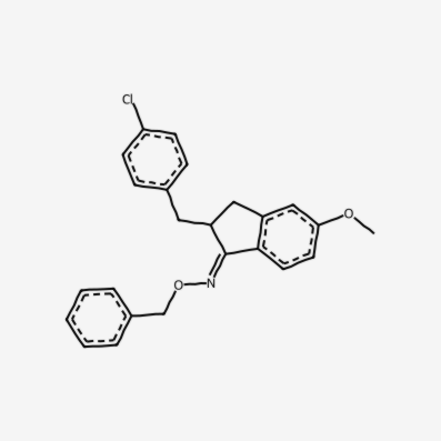 COc1ccc2c(c1)CC(Cc1ccc(Cl)cc1)C2=NOCc1ccccc1